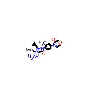 CC(C)(C)CN(CC1CC1)[C@@H](CN)C(=O)Nc1ccc(N2CCOCC2=O)cc1C(F)(F)F